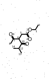 CCOC(=O)CC(C(C)=O)C(=O)C(C)C